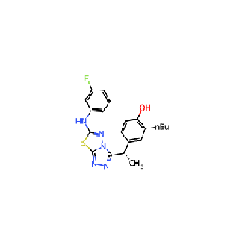 CCCCc1cc([C@H](C)c2nnc3sc(Nc4cccc(F)c4)nn23)ccc1O